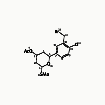 CSC1CC(OC(C)=O)CC(c2ccc(Cl)c(CBr)c2)O1